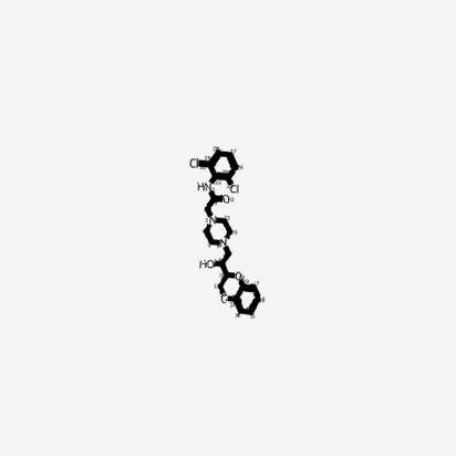 O=C(CN1CCN(CC(O)C2COc3ccccc3O2)CC1)Nc1c(Cl)cccc1Cl